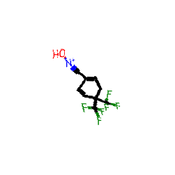 O[N+]#CC1=CCC(C(F)(F)F)(C(F)(F)F)C=C1